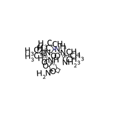 CC(C)(C)/C(=N/C(=O)N[C@H](CN)C(C)(C)C)C(=O)N1C[C@H]2[C@@H]([C@H]1C(=O)N[C@H](CC1CCC1)C(=O)C(N)=O)C2(C)C